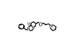 c1ccc(CN2CCN3CC(COCCCN4CCCCC4)CC[C@H]3C2)cc1